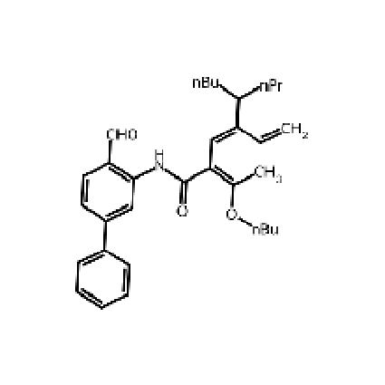 C=C/C(=C\C(C(=O)Nc1cc(-c2ccccc2)ccc1C=O)=C(/C)OCCCC)C(CCC)CCCC